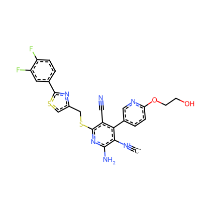 [C-]#[N+]c1c(N)nc(SCc2csc(-c3ccc(F)c(F)c3)n2)c(C#N)c1-c1ccc(OCCO)nc1